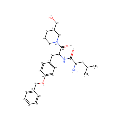 CC(C)CC(N)C(=O)NC(Cc1ccc(OCc2ccccc2)cc1)C(=O)N1CCCC(CO)C1